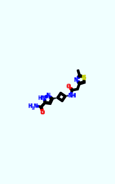 Cc1nc(CC(=O)N[C@H]2C[C@@H](c3cc(C(N)=O)[nH]n3)C2)cs1